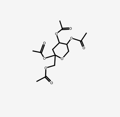 CC(=O)OCC1(OC(C)=O)CC(OC(C)=O)C(OC(C)=O)CO1